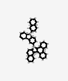 C1=CC2c3cc(-n4c5ccc6ccccc6c5c5c6ccccc6c6ccccc6c54)ccc3N(c3ccc4ccccc4c3)C2C=C1